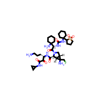 NCCC[C@H](NC(=O)[C@@H]1[C@@H]2[C@H](CN1C(=O)[C@@H](NC(=O)NC1(C3CCCS3(=O)=O)CCCCC1)C1(N)CCCCC1)C2(N)CF)C(=O)C(=O)NC1CC1